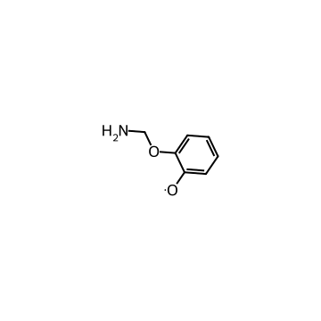 NCOc1ccccc1[O]